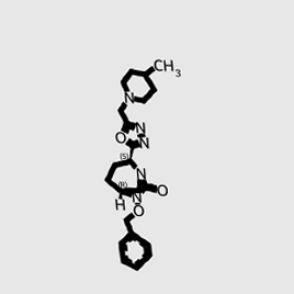 CC1CCN(Cc2nnc([C@@H]3CC[C@@H]4CN3C(=O)N4OCc3ccccc3)o2)CC1